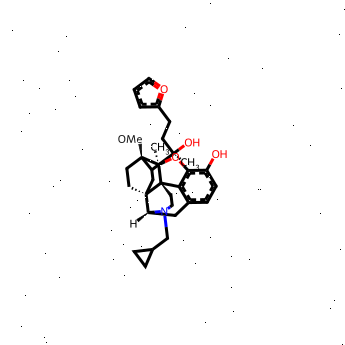 CO[C@]12CC[C@@]3(CC1[C@](C)(O)CCc1ccco1)[C@H]1Cc4ccc(O)c5c4[C@@]3(CCN1CC1CC1)[C@]2(C)O5